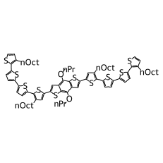 CCCCCCCCc1ccsc1-c1ccc(-c2ccc(-c3sc(-c4cc5c(OCCC)c6sc(-c7cc(CCCCCCCC)c(-c8ccc(-c9ccc(-c%10sccc%10CCCCCCCC)s9)s8)s7)cc6c(OCCC)c5s4)cc3CCCCCCCC)s2)s1